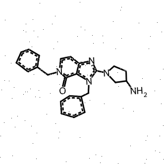 NC1CCN(c2nc3ccn(Cc4ccccc4)c(=O)c3n2Cc2ccccc2)C1